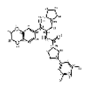 Cc1cc(N2CC[C@@H](C(=O)N[C@H](CN3CCCC3)[C@H](O)c3ccc4c(c3)OCCO4)C2)cc(C)n1